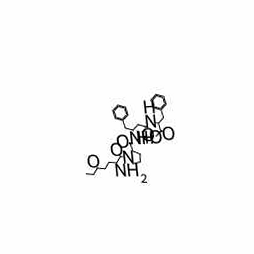 CCC(=O)CCC(N)C(=O)N1CCCC1C(=O)NC(CC(=O)NC(Cc1ccccc1)C(=O)O)Cc1ccccc1